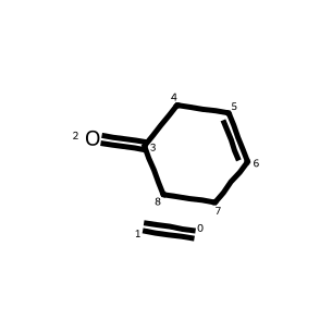 C=C.O=C1CC=CCC1